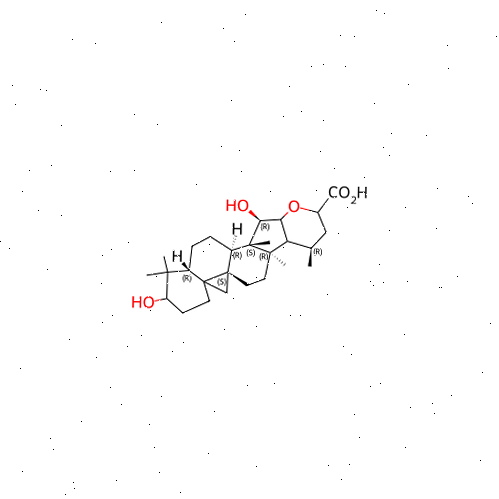 C[C@@H]1CC(C(=O)O)OC2C1[C@@]1(C)CC[C@@]34CC35CCC(O)C(C)(C)[C@@H]5CC[C@H]4[C@]1(C)[C@H]2O